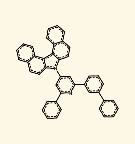 c1ccc(-c2cccc(-c3cc(-n4c5ccc6ccccc6c5c5c6ccccc6ccc54)cc(-c4ccccc4)n3)c2)cc1